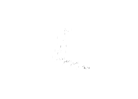 O=C(O)O.O=C(O)O.O=C(O)O.O=C(O)O.O=C(O)O.O=C(O)O.O=C(O)O.O=C(O)O.[NaH].[NaH].[NaH]